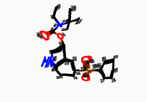 CCN(C(=O)Oc1c[nH]c2ccc(S(=O)(=O)c3ccccc3)cc12)C(C)(C)C